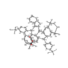 CC(C)(C)c1ccc(N2c3cc4c(cc3B3c5sc6ccccc6c5N(c5ccc(C(C)(C)C)cc5-c5ccccc5)c5cc(C(C)(C)C)cc2c53)C(C)(C)CCC4(C)C)cc1